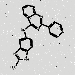 Cc1nc2cc(Nc3nc(-c4ccncc4)nc4ccccc34)ccc2[nH]1